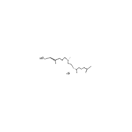 C/C(=C\CO)CCC[C@H](C)CCC[C@H](C)CCCC(C)C.[S]